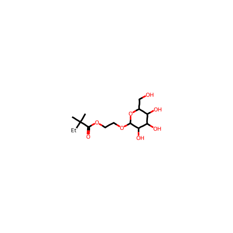 CCC(C)(C)C(=O)OCCOC1OC(CO)C(O)C(O)C1O